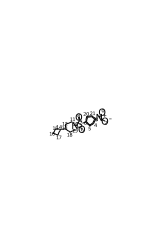 O=[N+]([O-])c1ccc(S(=O)(=O)N2CCC(C3CCC3)CC2)cc1